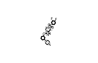 CCn1c(Oc2cccc(N3CCN(C)CC3)c2)nnc1[C@@H](C)NS(=O)(=O)c1ccc(F)c(F)c1